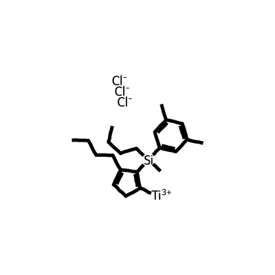 CCCCC1=CC[C]([Ti+3])=C1[Si](C)(CCCC)c1cc(C)cc(C)c1.[Cl-].[Cl-].[Cl-]